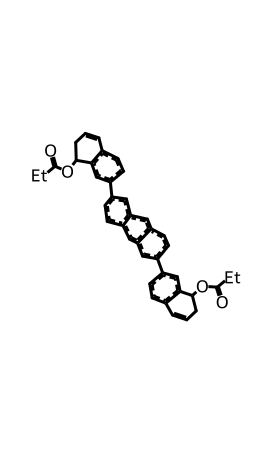 CCC(=O)OC1CC=Cc2ccc(-c3ccc4cc5cc(-c6ccc7c(c6)C(OC(=O)CC)CC=C7)ccc5cc4c3)cc21